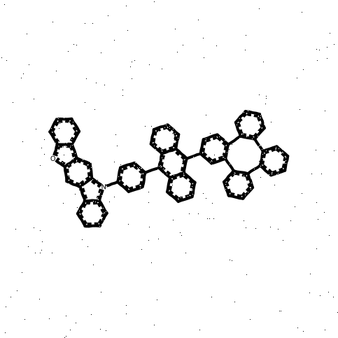 c1ccc2c(c1)-c1ccccc1-c1ccc(-c3c4ccccc4c(-c4ccc(-n5c6ccccc6c6cc7oc8ccccc8c7cc65)cc4)c4ccccc34)cc1-c1ccccc1-2